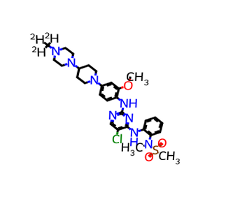 [2H]C([2H])([2H])N1CCN(C2CCN(c3ccc(Nc4ncc(Cl)c(Nc5ccccc5N(C)S(C)(=O)=O)n4)c(OC)c3)CC2)CC1